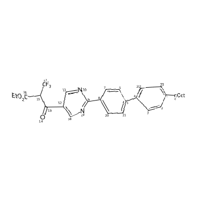 CCCCCCCCc1ccc(-c2ccc(-c3ncc(C(=O)C(C(=O)OCC)C(F)(F)F)cn3)cc2)cc1